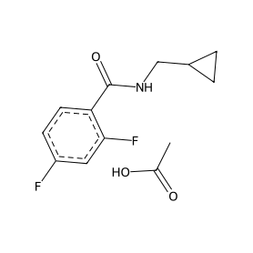 CC(=O)O.O=C(NCC1CC1)c1ccc(F)cc1F